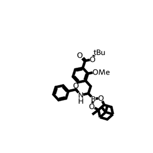 COc1c(CC(NC(=O)c2ccccc2)B2OC3CC4CC(C4(C)C)C3(C)O2)cccc1C(=O)OC(C)(C)C